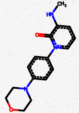 CNc1cccn(-c2ccc(N3CCOCC3)cc2)c1=O